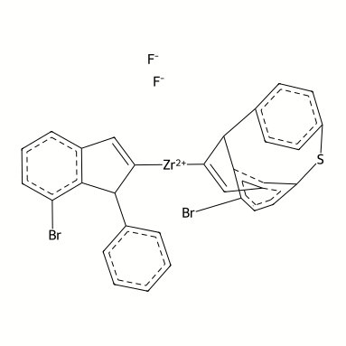 Brc1cccc2c1C(c1ccccc1)[C]([Zr+2][C]1=Cc3c4ccc(Br)c3C1c1ccc(cc1)S4)=C2.[F-].[F-]